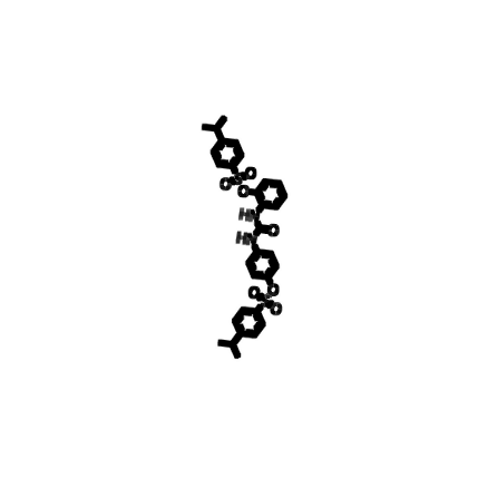 CC(C)c1ccc(S(=O)(=O)Oc2ccc(NC(=O)Nc3ccccc3OS(=O)(=O)c3ccc(C(C)C)cc3)cc2)cc1